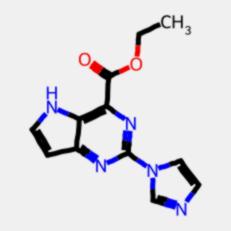 CCOC(=O)c1nc(-n2ccnc2)nc2cc[nH]c12